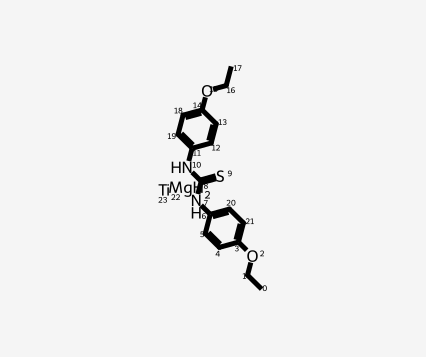 CCOc1ccc(NC(=S)Nc2ccc(OCC)cc2)cc1.[MgH2].[Ti]